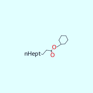 [CH2]CCCCCCCCC(=O)OCC1CCCCC1